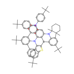 CC(C)(C)c1ccc(N(c2ccc(C(C)(C)C)cc2)c2cc3c4c(c2)N2c5c(cc(C(C)(C)C)cc5C5(C)CCCCC25C)B4c2sc4cc(C(C)(C)C)ccc4c2N3c2c(-c3ccccc3)cc(C(C)(C)C)cc2-c2ccccc2)cc1